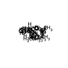 CCOP(=O)(COc1ccc(C[C@@H](NC(=O)O[C@H]2CO[C@H]3OCC[C@H]32)[C@H](O)CN(CC(CC)CC)C(=O)OC(C)(C)C)cc1)OCC